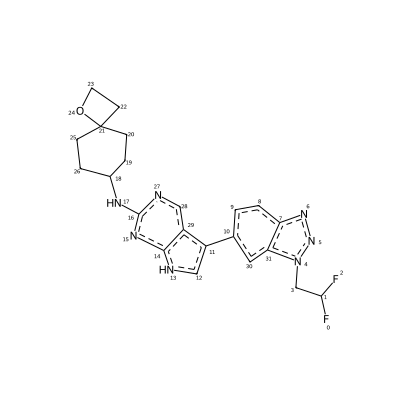 FC(F)Cn1nnc2ccc(-c3c[nH]c4nc(NC5CCC6(CCO6)CC5)ncc34)cc21